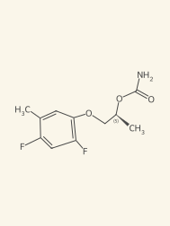 Cc1cc(OC[C@H](C)OC(N)=O)c(F)cc1F